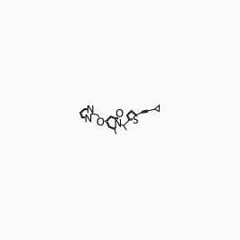 Cc1cc(OCc2ncccn2)cc(=O)n1C(C)c1ccc(C#CC2CC2)s1